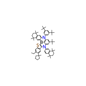 CCc1cc2sc3c(c2cc1C1(C)CCCC1)N(c1ccc2c(c1)C(C)(C)CCC2(C)C)c1cc(C(C)(C)C)cc2c1B3c1cc3c(cc1N2c1cc(C(C)(C)C)cc(C(C)(C)C)c1)C(C)(C)CCC3(C)C